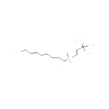 CCCCCCCCCCCCCCCCCC[N+](C)(C)CCC(OC)(OC)OC.[Cl-]